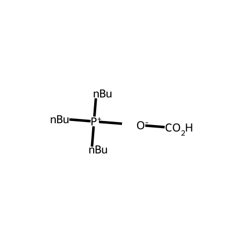 CCCC[P+](C)(CCCC)CCCC.O=C([O-])O